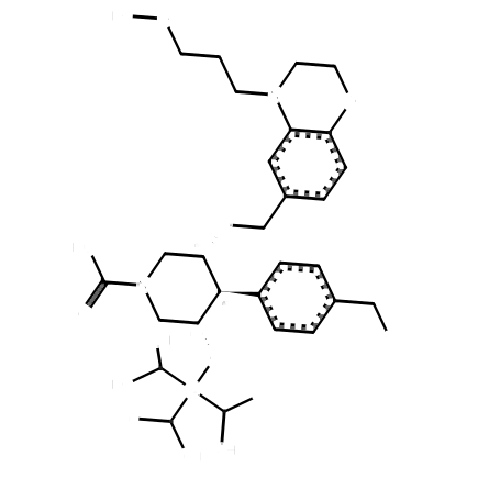 COCCCN1CCOc2ccc(CO[C@H]3CN(C(=O)O)C[C@@H](O[Si](C(C)C)(C(C)C)C(C)C)[C@@H]3c3ccc(CO)cc3)cc21